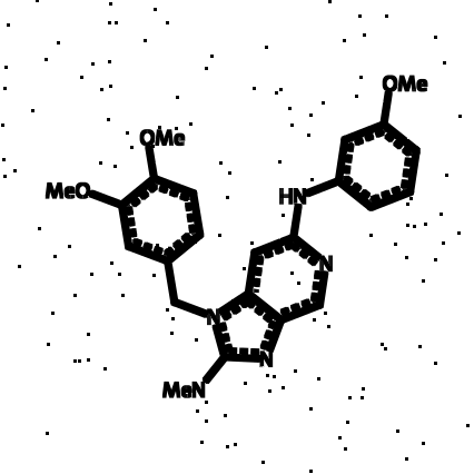 CNc1nc2cnc(Nc3cccc(OC)c3)cc2n1Cc1ccc(OC)c(OC)c1